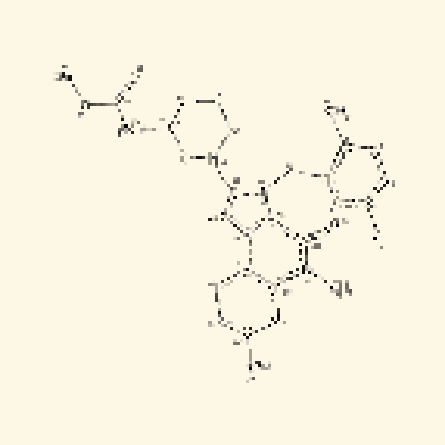 Cc1ccc(F)cc1Cn1c(N2CCC[C@@H](NC(=O)OC(C)(C)C)C2)nc2c3ccc(C(C)(C)C)cc3n(C)c(=O)c21